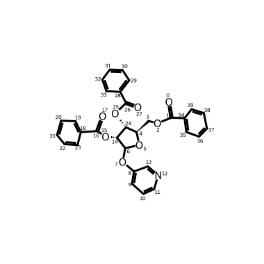 O=C(OC[C@H]1OC(Oc2cccnc2)[C@H](OC(=O)c2ccccc2)[C@@H]1OC(=O)c1ccccc1)c1ccccc1